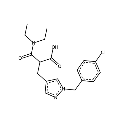 CCN(CC)C(=O)C(Cc1cnn(Cc2ccc(Cl)cc2)c1)C(=O)O